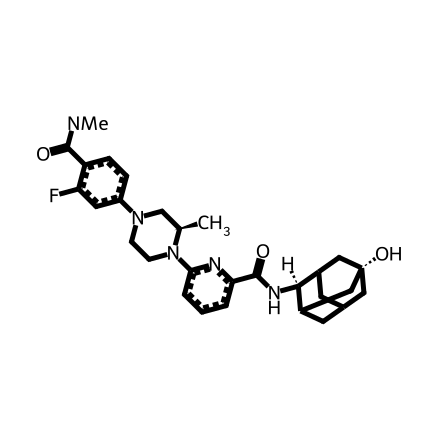 CNC(=O)c1ccc(N2CCN(c3cccc(C(=O)N[C@H]4C5CC6CC4C[C@](O)(C6)C5)n3)[C@H](C)C2)cc1F